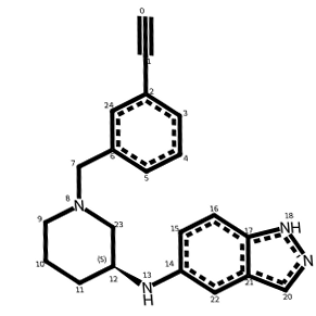 C#Cc1cccc(CN2CCC[C@H](Nc3ccc4[nH]ncc4c3)C2)c1